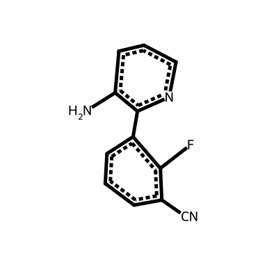 N#Cc1cccc(-c2ncccc2N)c1F